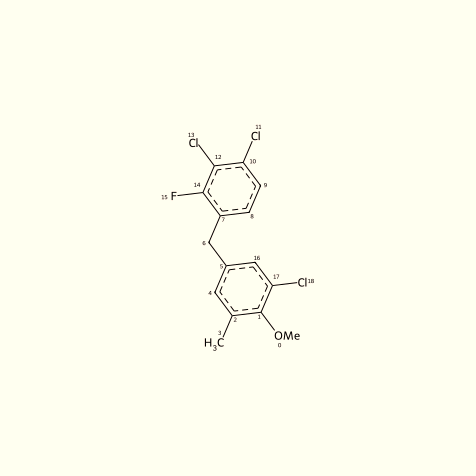 COc1c(C)cc(Cc2ccc(Cl)c(Cl)c2F)cc1Cl